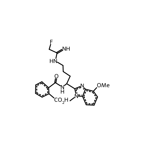 COc1cccc2c1nc(C(CCCNC(=N)CF)NC(=O)c1ccccc1C(=O)O)n2C